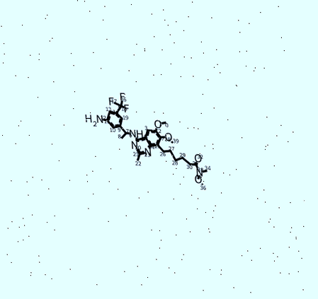 COc1cc2c(NC(C)c3cc(N)cc(C(F)(F)F)c3)nc(C)nc2c(CCCCCC(=O)N(C)OC)c1OC